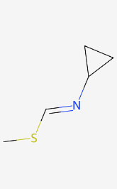 CSC=NC1CC1